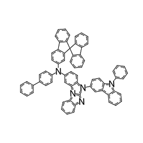 c1ccc(-c2ccc(N(c3ccc4c(c3)C3(c5ccccc5-c5ccccc53)c3ccccc3-4)c3ccc4c(c3)n3c5ccccc5nc3n4-c3ccc4c(c3)c3ccccc3n4-c3ccccc3)cc2)cc1